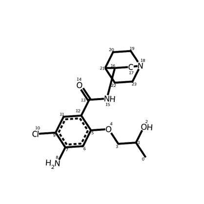 CC(O)COc1cc(N)c(Cl)cc1C(=O)NC1CN2CCC1CC2